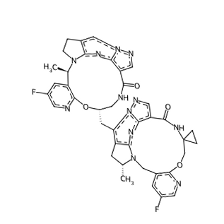 C[C@@H]1Cc2c3nc4c(cnn4c2C[C@H]2CNC(=O)c4cnn5cc6c(nc45)N(CC6)[C@H](C)c4cc(F)cnc4O2)C(=O)NC2(CC2)COc2ncc(F)cc2CN31